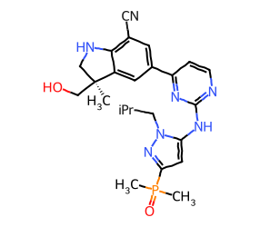 CC(C)Cn1nc(P(C)(C)=O)cc1Nc1nccc(-c2cc(C#N)c3c(c2)[C@@](C)(CO)CN3)n1